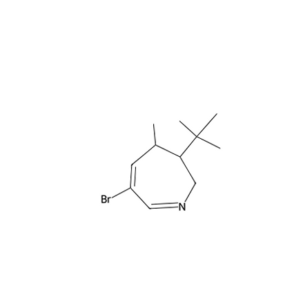 CC1C=C(Br)C=NCC1C(C)(C)C